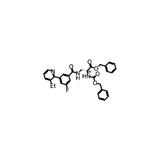 CCc1cccnc1-c1cc(F)cc(C(=O)NC[C@@H](NC(=O)OCc2ccccc2)C(=O)OCc2ccccc2)c1